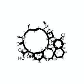 CO[C@H]1/C=C/[C@H](C)CN(C)C(=O)C[C@](O)(C(=O)O)c2ccc3c(c2)N(C[C@@H]2CC[C@H]21)C[C@@]1(CCCc2cc(Cl)ccc21)CO3